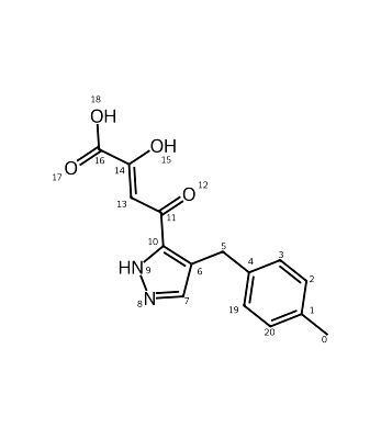 Cc1ccc(Cc2cn[nH]c2C(=O)C=C(O)C(=O)O)cc1